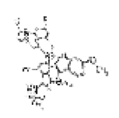 COc1ccc2c(=O)n(-c3ccc(Cl)c4c(NS(C)(=O)=O)nn(C)c34)c([C@H](Cc3cc(F)cc(F)c3)NC(=O)Cn3ccc(C4CC4)n3)nc2c1